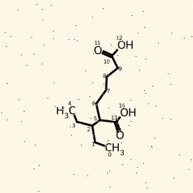 CCC(CC)C(CCCCC(=O)O)C(=O)O